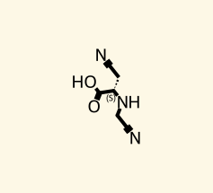 N#CCN[C@@H](CC#N)C(=O)O